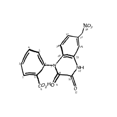 O=C(O)c1ccccc1-n1c(=O)c(=O)[nH]c2cc([N+](=O)[O-])ccc21